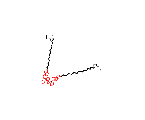 CCCCCCCCCCCCCCCCOOOC(=O)OOC(=O)OOOCCCCCCCCCCCCCCCC